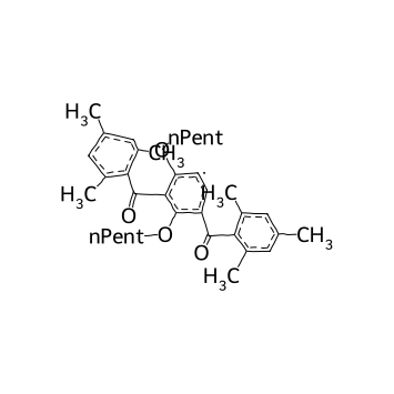 CCCCCOc1[c]cc(C(=O)c2c(C)cc(C)cc2C)c(OCCCCC)c1C(=O)c1c(C)cc(C)cc1C